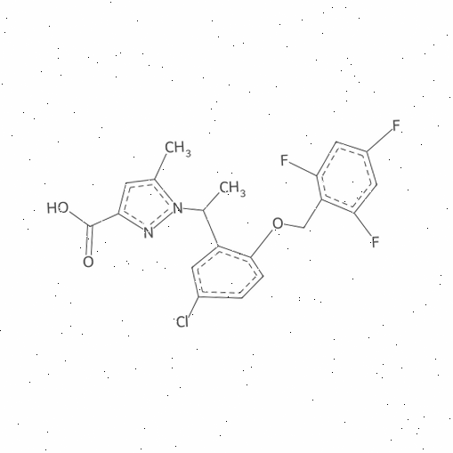 Cc1cc(C(=O)O)nn1C(C)c1cc(Cl)ccc1OCc1c(F)cc(F)cc1F